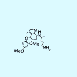 COc1ccc(Oc2c(OC)cc(NC(C)CCCN)c3nccc(C)c23)cc1